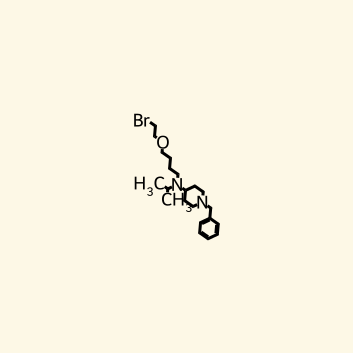 CC(C)N(CCCCOCCBr)C1CCN(Cc2ccccc2)CC1